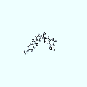 Cc1ccc(S(=O)(=O)n2ccc(C(=O)NCc3cc(C)ccn3)c2)cc1